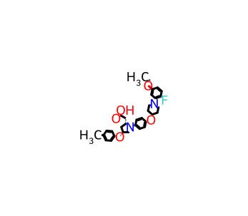 CCOc1ccc(F)c(N2CCC(Oc3ccc(N4C[C@H](Oc5ccc(C)cc5)C[C@@H]4CC(=O)O)cc3)CC2)c1